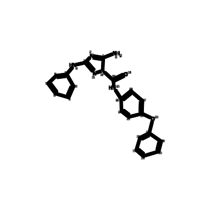 Nc1nc(Nc2ccccc2)nn1C(=O)Nc1ccc(Oc2ccccc2)cc1